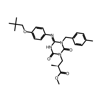 COC(=O)[C@@H](C)Cn1c(=O)[nH]/c(=N\c2ccc(OCC(C)(C)C)cc2)n(Cc2ccc(C)cc2)c1=O